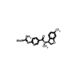 CNC(N)=Nc1ccc(C(=O)N(C)C2COc3cc(C(F)(F)F)ccc32)cn1